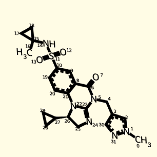 Cn1cc(CN2C(=O)c3cc(S(=O)(=O)NC4(C)CC4)ccc3N3C2=NC[C@H]3C2CC2)cn1